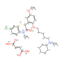 COc1ccc(OCCCCCN(C)C2CCCCC2)c(C2Sc3cc(Cl)ccc3N(C)C2=O)c1.O=C(O)C=CC(=O)O